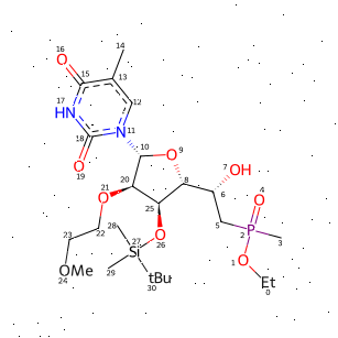 CCOP(C)(=O)C[C@@H](O)[C@H]1O[C@@H](n2cc(C)c(=O)[nH]c2=O)[C@H](OCCOC)[C@@H]1O[Si](C)(C)C(C)(C)C